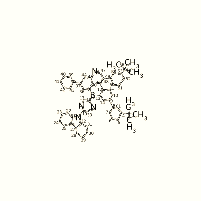 CC(C)(C)c1cccc(-c2ccc3c(c2)B(c2cnc(-n4c5ccccc5c5ccccc54)cn2)c2cc(-c4ccccc4)cc4ncc(-c5cccc(C(C)(C)C)c5)c-3c24)c1